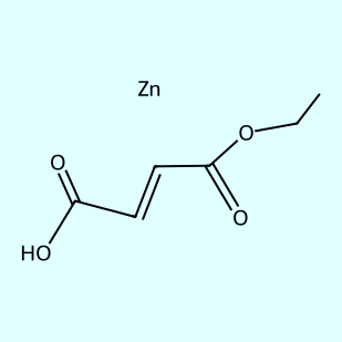 CCOC(=O)C=CC(=O)O.[Zn]